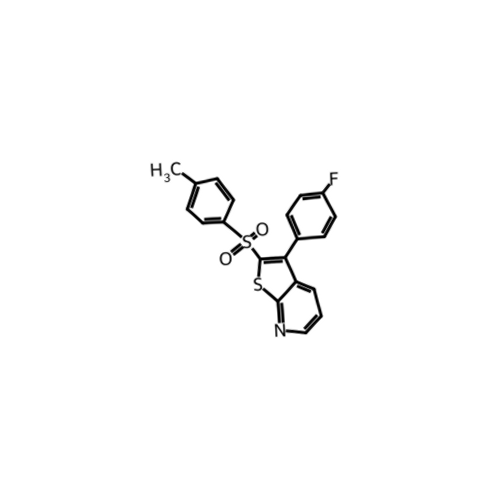 Cc1ccc(S(=O)(=O)c2sc3ncccc3c2-c2ccc(F)cc2)cc1